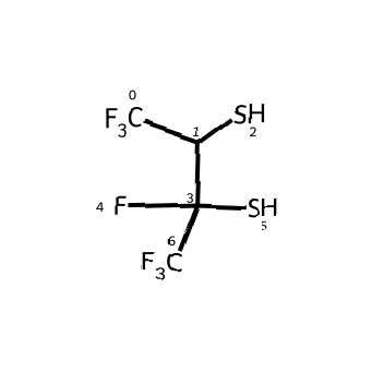 FC(F)(F)C(S)C(F)(S)C(F)(F)F